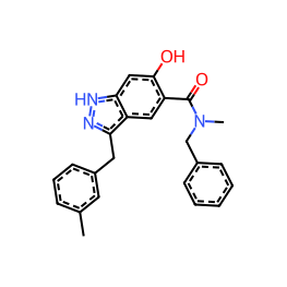 Cc1cccc(Cc2n[nH]c3cc(O)c(C(=O)N(C)Cc4ccccc4)cc23)c1